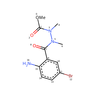 COC(=O)N(C)N(C)C(=O)c1cc(Br)ccc1N